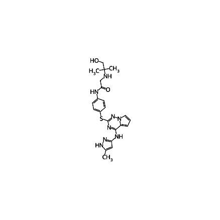 Cc1cc(Nc2nc(Sc3ccc(NC(=O)CNC(C)(C)CO)cc3)nn3cccc23)n[nH]1